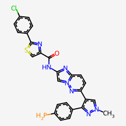 Cn1cc(-c2ccc3nc(NC(=O)c4csc(-c5ccc(Cl)cc5)n4)cn3n2)c(-c2ccc(P)cc2)n1